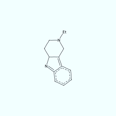 CCN1CCC2N=c3ccccc3=C2C1